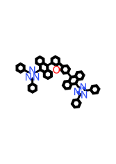 c1ccc(-c2nc(-c3ccccc3)nc(-c3c4ccccc4c(-c4ccc5c(c4)oc4c(-c6c7ccccc7c(-c7nc(-c8ccccc8)nc(-c8ccccc8)n7)c7ccccc67)cccc45)c4ccccc34)n2)cc1